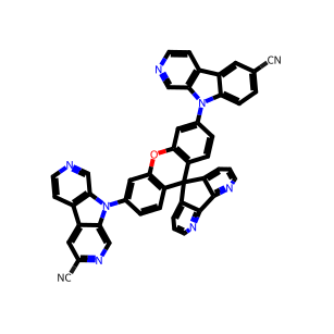 N#Cc1ccc2c(c1)c1ccncc1n2-c1ccc2c(c1)Oc1cc(-n3c4cnccc4c4cc(C#N)ncc43)ccc1C21c2cccnc2-c2ncccc21